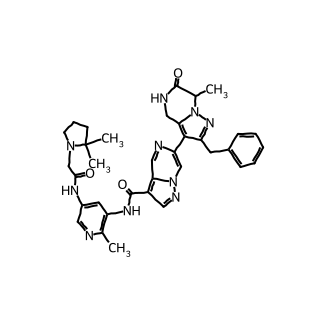 Cc1ncc(NC(=O)CN2CCCC2(C)C)cc1NC(=O)c1cnn2cc(-c3c(Cc4ccccc4)nn4c3CNC(=O)C4C)ncc12